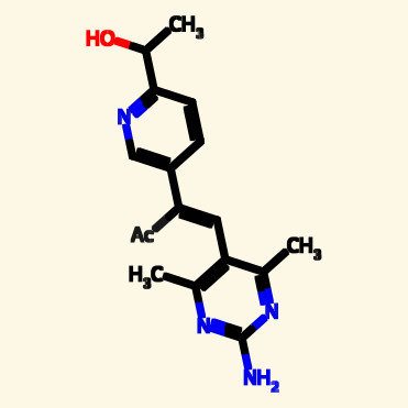 CC(=O)/C(=C\c1c(C)nc(N)nc1C)c1ccc(C(C)O)nc1